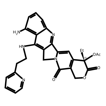 CC[C@@]1(OC(C)=O)C(=O)OCc2c1cc1n(c2=O)Cc2c-1nc1cccc(N)c1c2NCCc1ccccn1